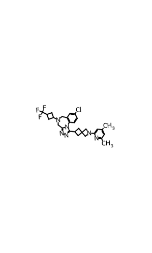 Cc1cc(C)nc(N2CC3(CC(c4nnc5n4-c4ccc(Cl)cc4CN(C4CC(C(F)(F)F)C4)C5)C3)C2)c1